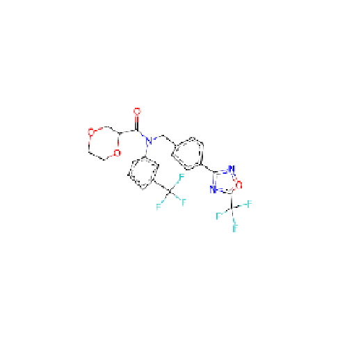 O=C(C1COCCO1)N(Cc1ccc(-c2noc(C(F)(F)F)n2)cc1)c1cccc(C(F)(F)F)c1